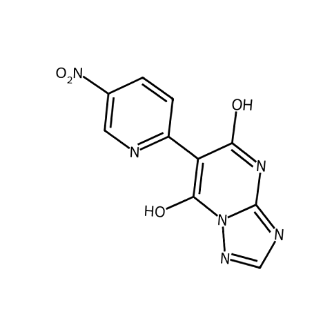 O=[N+]([O-])c1ccc(-c2c(O)nc3ncnn3c2O)nc1